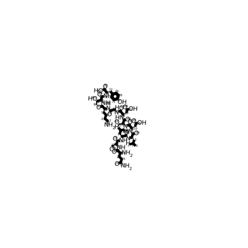 CC(C)C[C@H](NC(=O)[C@H](CC(C)C)NC(=O)[C@H](CO)NC(=O)[C@@H](N)CCC(N)=O)C(=O)N[C@@H](CC(=O)O)C(=O)N[C@@H](CO)C(=O)N[C@@H](CC(=O)O)C(=O)NCC(=O)N[C@@H](CCCCN)C(=O)N[C@H](C(=O)N[C@@H](Cc1ccc(O)cc1)C(=O)O)[C@@H](C)O